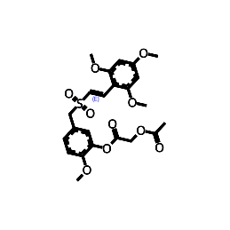 COc1cc(OC)c(/C=C/S(=O)(=O)Cc2ccc(OC)c(OC(=O)COC(C)=O)c2)c(OC)c1